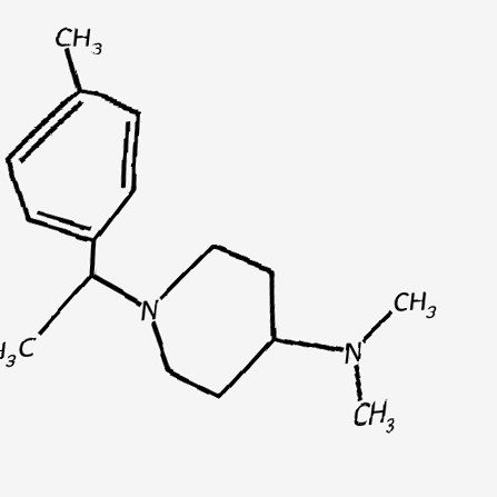 Cc1ccc(C(C)N2CCC(N(C)C)CC2)cc1